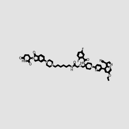 CCOc1cc(-c2ccc(N3CCC(COCC(=O)NCCCCCCN4CCN(c5ccc6c(c5)CN(C5CCC(=O)NC5=O)C6=O)CC4)(NC(=O)c4cc(F)ccc4F)CC3)nc2)c2c(C#N)cnn2c1